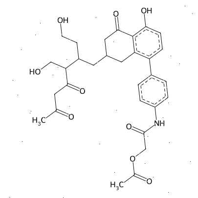 CC(=O)CC(=O)C(CO)C(CCO)CC1CC(=O)c2c(O)ccc(-c3ccc(NC(=O)COC(C)=O)cc3)c2C1